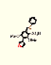 COc1cc(CSc2ccccc2)c(C(=O)O)c(OC)c1-c1ccoc1